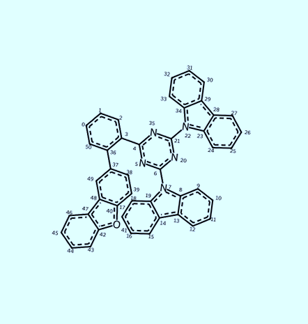 c1ccc(-c2nc(-n3c4ccccc4c4ccccc43)nc(-n3c4ccccc4c4ccccc43)n2)c(-c2ccc3oc4ccccc4c3c2)c1